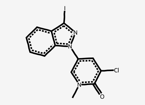 Cn1cc(-n2nc(I)c3ccccc32)cc(Cl)c1=O